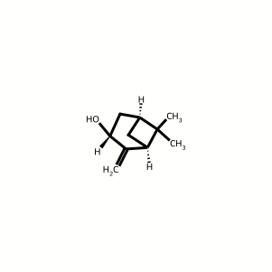 C=C1[C@H](O)C[C@@H]2C[C@H]1C2(C)C